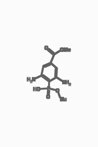 CCC(C)OP(=O)(O)c1c(N)cc(C(=O)OC)cc1N